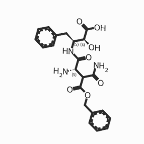 NC(=O)C(C(=O)OCc1ccccc1)[C@H](N)C(=O)N[C@@H](Cc1ccccc1)[C@H](O)C(=O)O